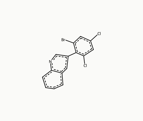 Clc1cc(Cl)c(-c2cnc3ccccc3c2)c(Br)c1